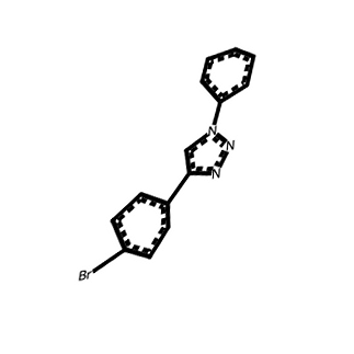 Brc1ccc(-c2cn(-c3ccccc3)nn2)cc1